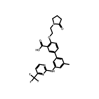 Cc1cc(Nc2nccc(C(F)(F)F)n2)cc(-c2ccc(OCCN3CCCC3=O)c(C(=O)O)c2)c1